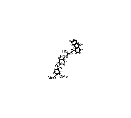 COc1ccc(S(=O)(=O)N2CCC(NC[C@H](O)COc3cccc4[nH]c5ccccc5c34)CC2)cc1OC